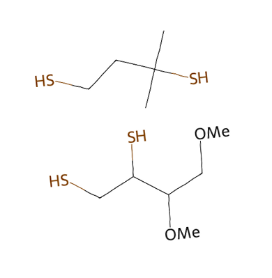 CC(C)(S)CCS.COCC(OC)C(S)CS